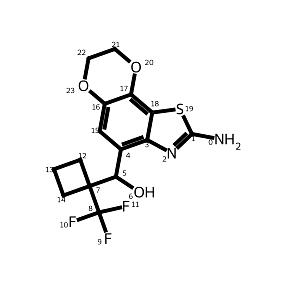 Nc1nc2c(C(O)C3(C(F)(F)F)CCC3)cc3c(c2s1)OCCO3